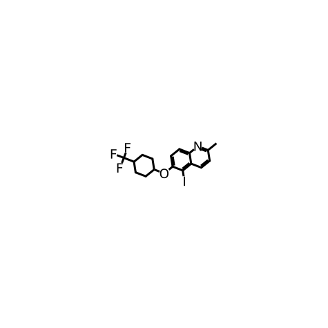 Cc1ccc2c(I)c(OC3CCC(C(F)(F)F)CC3)ccc2n1